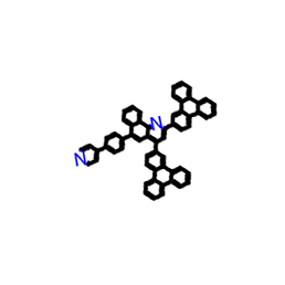 c1ccc2c(c1)c(-c1ccc(-c3ccncc3)cc1)cc1c(-c3ccc4c5ccccc5c5ccccc5c4c3)cc(-c3ccc4c5ccccc5c5ccccc5c4c3)nc12